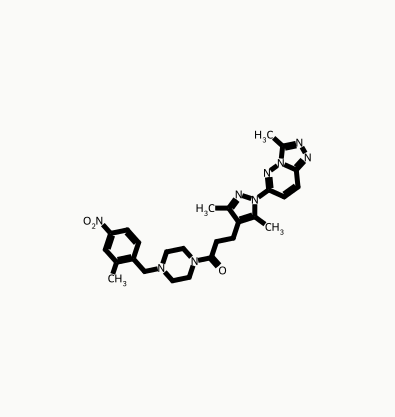 Cc1cc([N+](=O)[O-])ccc1CN1CCN(C(=O)CCc2c(C)nn(-c3ccc4nnc(C)n4n3)c2C)CC1